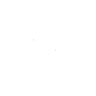 Cc1c(CCC(=O)O)ccc2c1nnn2CCCN(C)CCO